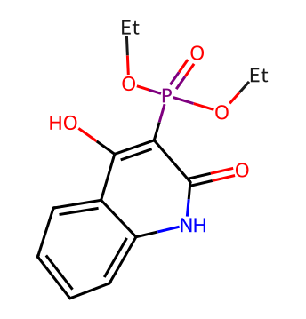 CCOP(=O)(OCC)c1c(O)c2ccccc2[nH]c1=O